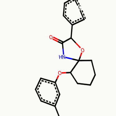 Cc1cccc(OC2CCCCC23NC(=O)C(c2ccccc2)O3)c1